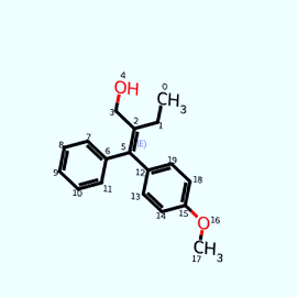 CC/C(CO)=C(/c1ccccc1)c1ccc(OC)cc1